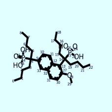 CCCCC(CCCC)(c1ccc2c(C(CCCC)(CCCC)P(=O)(O)O)c(OC)ccc2c1)P(=O)(O)O